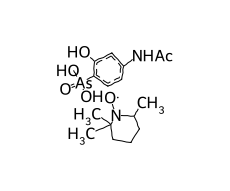 CC(=O)Nc1ccc([As](=O)(O)O)c(O)c1.CC1CCCC(C)(C)N1[O]